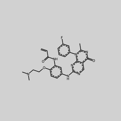 C=CC(=O)Nc1cc(Nc2ncc3c(=O)nc(C)n(-c4cccc(F)c4)c3n2)ccc1OCCN(C)C